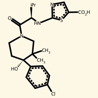 CC(C)[C@@H](Nc1ncc(C(=O)O)s1)C(=O)N1CC[C@](O)(c2ccc(Cl)cc2)C(C)(C)C1